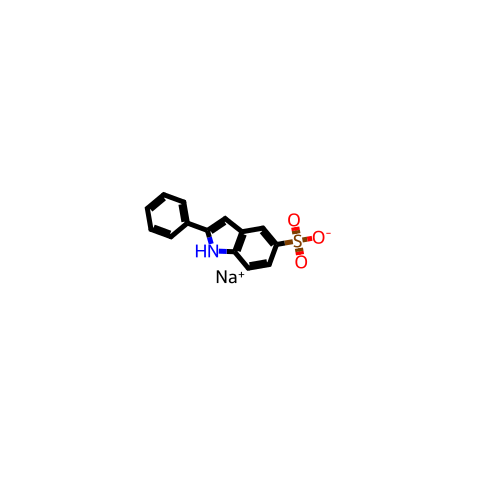 O=S(=O)([O-])c1ccc2[nH]c(-c3ccccc3)cc2c1.[Na+]